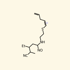 C=CC/C=C\SCCNC(CC(CC)C(C)C#N)N=O